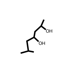 CC(C)CC(O)CC(C)O